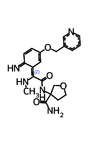 CN/C(C(=O)NC1(C(N)=O)CCOC1)=C1/C=C(OCc2cccnc2)C=CC1=N